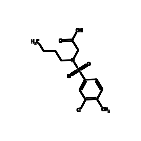 CCCCN(CC(=O)O)S(=O)(=O)c1ccc(C)c(Cl)c1